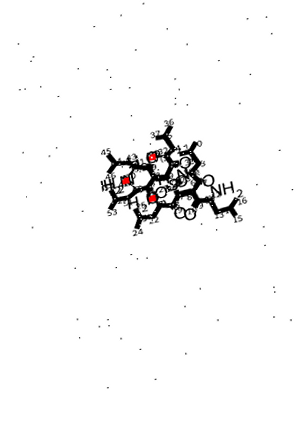 CC(C)C[C@H](N)C(=O)C(C(=O)[C@@H](N)CC(C)C)=C(C(=O)[C@@H](N)CC(C)C)S(=O)(=O)C(C(=O)[C@@H](N)CC(C)C)=C(C(=O)[C@@H](N)CC(C)C)C(=O)[C@@H](N)CC(C)C